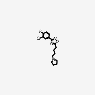 Fc1ccc(-c2noc(CCCCN3CCCC3)n2)cc1Cl